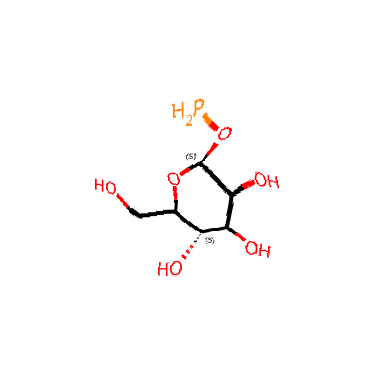 OCC1O[C@@H](OP)C(O)C(O)[C@@H]1O